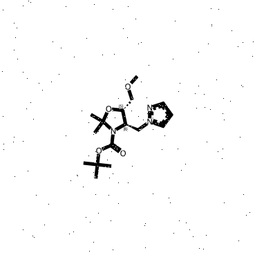 COC[C@H]1OC(C)(C)N(C(=O)OC(C)(C)C)[C@@H]1Cn1cccn1